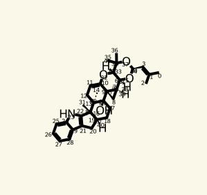 CC(C)=C[C@H]1O[C@H]2[C@H]3C[C@@]34C(=CC[C@@]3(C)[C@@]4(O)CC[C@H]4Cc5c([nH]c6ccccc56)[C@@]43C)O[C@@H]2C(C)(C)O1